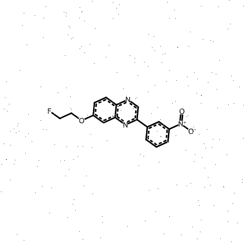 O=[N+]([O-])c1cccc(-c2cnc3ccc(OCCF)cc3n2)c1